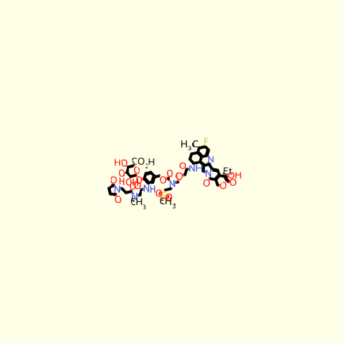 CC[C@@]1(O)C(=O)OCc2c1cc1n(c2=O)Cc2c-1nc1cc(F)c(C)c3c1c2[C@@H](NC(=O)COCN(CCS(C)(=O)=O)C(=O)OCc1ccc(O[C@@H]2OC(C(=O)O)[C@@H](O)[C@H](O)C2O)c(NC(=O)CN(C)C(=O)CCN2C(=O)C=CC2=O)c1)CC3